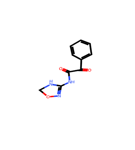 O=C(NC1=NOCN1)C(=O)c1ccccc1